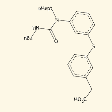 CCCCCCCN(C(=O)NCCCC)c1cccc(Sc2cccc(CC(=O)O)c2)c1